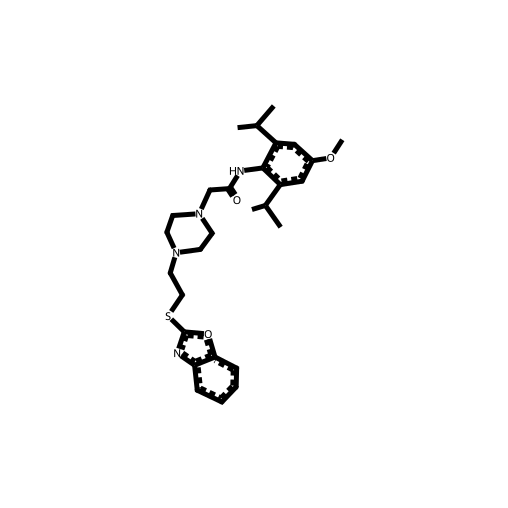 COc1cc(C(C)C)c(NC(=O)CN2CCN(CCSc3nc4ccccc4o3)CC2)c(C(C)C)c1